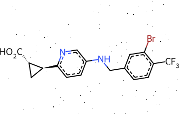 O=C(O)[C@H]1C[C@@H]1c1ccc(NCc2ccc(C(F)(F)F)c(Br)c2)cn1